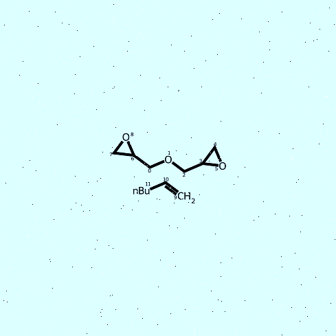 C(OCC1CO1)C1CO1.C=CCCCC